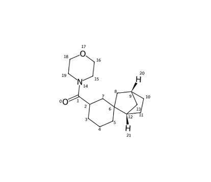 O=C(C1CCCC2(C1)C[C@@H]1CC[C@H]2C1)N1CCOCC1